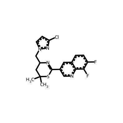 CC1(C)CC(Cn2ccc(Cl)n2)N=C(c2cnc3c(F)c(F)ccc3c2)S1